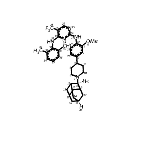 COc1cc(C2CCN([C@H]3C4CC5CC3C[C@H](C5)C4)CC2)ccc1Nc1ncc(C(F)(F)F)c(Nc2c(C)cccc2C=O)n1